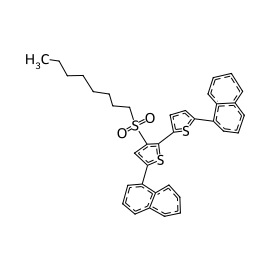 CCCCCCCCS(=O)(=O)c1cc(-c2cccc3ccccc23)sc1-c1ccc(-c2cccc3ccccc23)s1